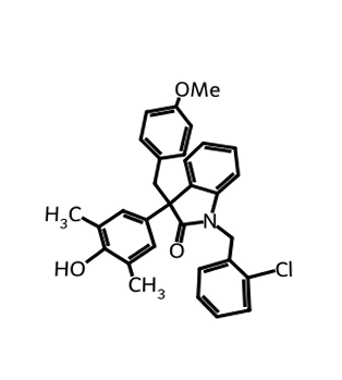 COc1ccc(CC2(c3cc(C)c(O)c(C)c3)C(=O)N(Cc3ccccc3Cl)c3ccccc32)cc1